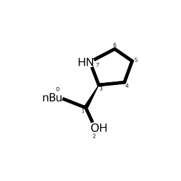 CCCCC(O)[C@@H]1CCCN1